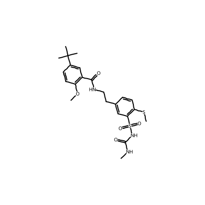 CNC(=O)NS(=O)(=O)c1cc(CCNC(=O)c2cc(C(C)(C)C)ccc2OC)ccc1SC